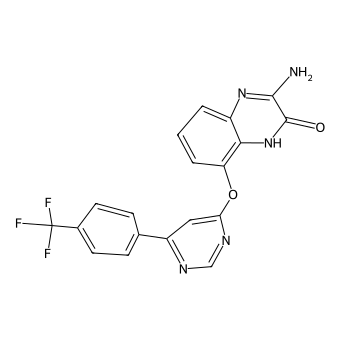 Nc1nc2cccc(Oc3cc(-c4ccc(C(F)(F)F)cc4)ncn3)c2[nH]c1=O